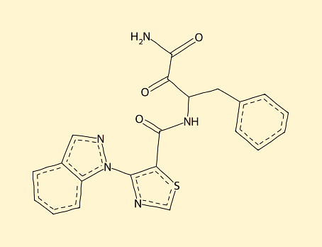 NC(=O)C(=O)C(Cc1ccccc1)NC(=O)c1scnc1-n1ncc2ccccc21